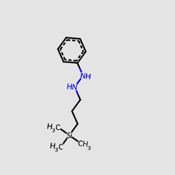 C[Si](C)(C)CCCNNc1ccccc1